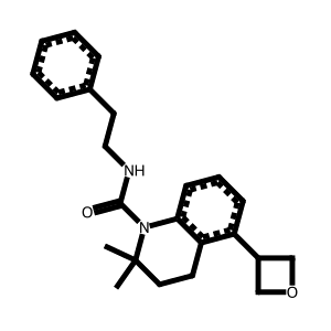 CC1(C)CCc2c(C3COC3)cccc2N1C(=O)NCCc1ccccc1